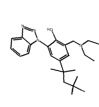 CCN(CC)Cc1cc(C(C)(C)CC(C)(C)C)cc(-n2nnc3ccccc32)c1O